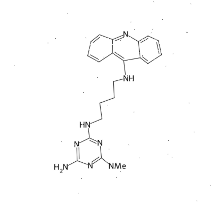 CNc1nc(N)nc(NCCCCNc2c3ccccc3nc3ccccc23)n1